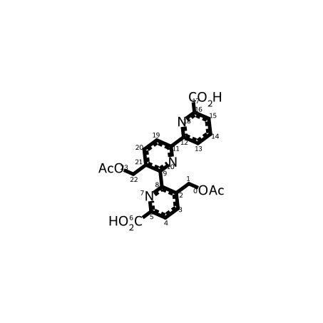 CC(=O)OCc1ccc(C(=O)O)nc1-c1nc(-c2cccc(C(=O)O)n2)ccc1COC(C)=O